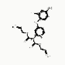 C=CCOC(=O)N(C(=O)OCC=C)c1cc(Oc2ccc(N=O)cc2F)ccn1